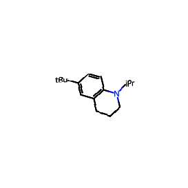 CC(C)N1CCCc2cc(C(C)(C)C)ccc21